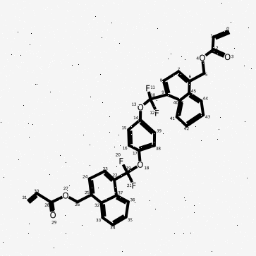 C=CC(=O)OCc1ccc(C(F)(F)Oc2ccc(OC(F)(F)c3ccc(COC(=O)C=C)c4ccccc34)cc2)c2ccccc12